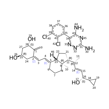 C=C1/C(=C\C=C2/CCC[C@]3(C)[C@@H]([C@H](C)/C=C/[C@@H](O)C4CC4)CC[C@@H]23)C[C@@H](O)C[C@@H]1O.Nc1nnc(-c2cccc(Cl)c2Cl)c(N)n1